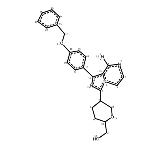 Nc1nccn2c(C3CCC(CO)OC3)nc(-c3ccc(OCc4ccccc4)cc3)c12